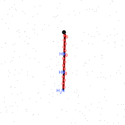 NCCOCCOCCOCCOCCC(=O)NCCOCCOCCOCCOCCC(=O)NCCOCCOCCOCCOCCC(=O)OCc1ccccc1